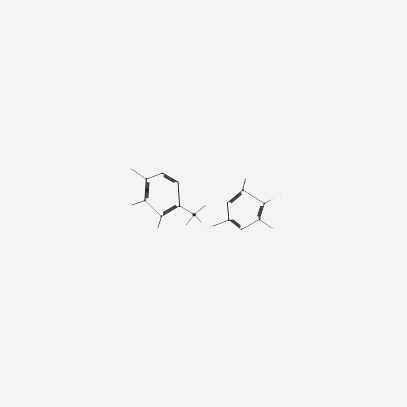 Cc1ccc(C(F)(F)Oc2cc(F)c(Cl)c(F)c2)c(F)c1F